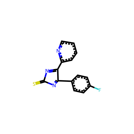 Fc1ccc(C2=NC(=S)N=C2c2ccccn2)cc1